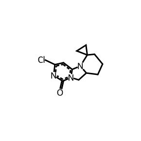 O=c1nc(Cl)cc2n1CC1CCCC3(CC3)N21